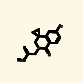 COC(=O)CN1CC2(CC2)c2cc(C(C)=O)ccc2C1=O